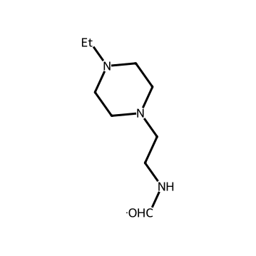 CCN1CCN(CCN[C]=O)CC1